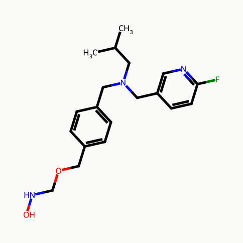 CC(C)CN(Cc1ccc(COCNO)cc1)Cc1ccc(F)nc1